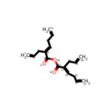 C=CC/C=C(\CC=C)C(=O)OC(=O)/C(=C/CC=C)CC=C